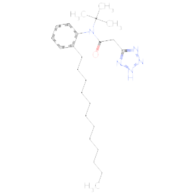 CCCCCCCCCCCCc1ccccc1N(C(=O)Cc1nn[nH]n1)C(C)(C)C